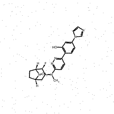 CN(c1ccc(-c2ccc(-n3ccnc3)cc2O)nn1)[C@H]1C[C@@H]2CC[C@H]([C@H]1F)N2C